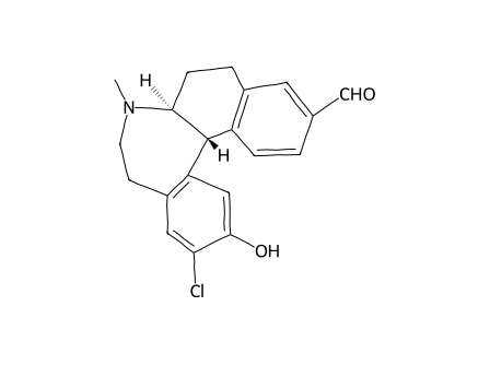 CN1CCc2cc(Cl)c(O)cc2[C@H]2c3ccc(C=O)cc3CC[C@@H]21